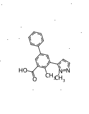 Cc1c(C(=O)O)cc(-c2ccccc2)cc1-c1ccnn1C